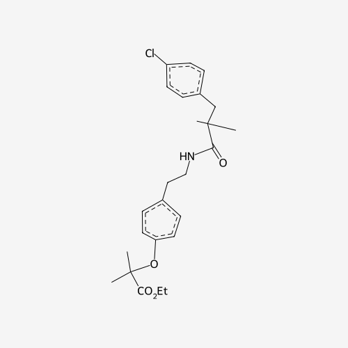 CCOC(=O)C(C)(C)Oc1ccc(CCNC(=O)C(C)(C)Cc2ccc(Cl)cc2)cc1